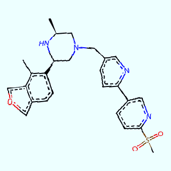 Cc1c([C@@H]2CN(Cc3ccc(-c4ccc(S(C)(=O)=O)nc4)nc3)C[C@H](C)N2)ccc2cocc12